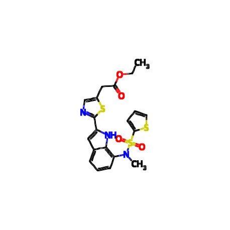 CCOC(=O)Cc1cnc(-c2cc3cccc(N(C)S(=O)(=O)c4cccs4)c3[nH]2)s1